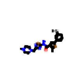 Cc1sc(-c2cccc(C(F)(F)F)c2)cc1C(=O)Nc1nc(CN2CCN(C)CC2)ns1